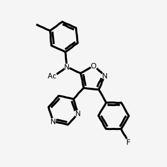 CC(=O)N(c1cccc(C)c1)c1onc(-c2ccc(F)cc2)c1-c1ccncn1